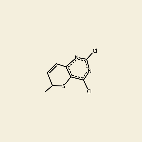 CC1C=Cc2nc(Cl)nc(Cl)c2S1